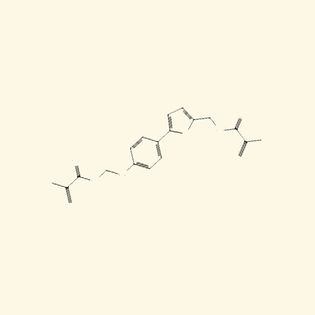 C=C(C)C(=O)OCOc1ccc(-c2ccc(COC(=O)C(=C)C)s2)cc1